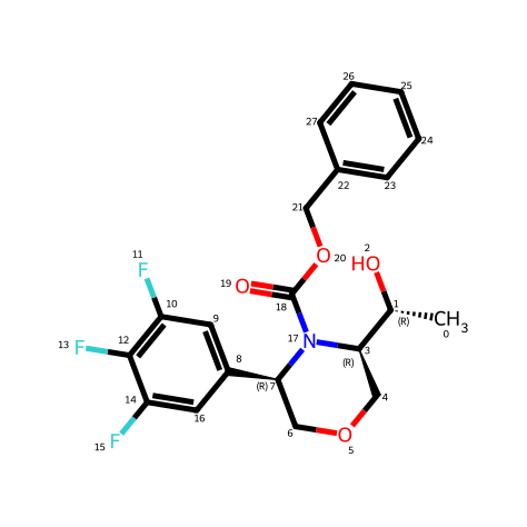 C[C@@H](O)[C@H]1COC[C@@H](c2cc(F)c(F)c(F)c2)N1C(=O)OCc1ccccc1